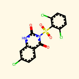 O=c1[nH]c2cc(Cl)ccc2c(=O)n1S(=O)(=O)c1c(Cl)cccc1Cl